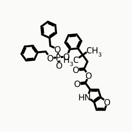 CC(C)(CC(=O)OC(=O)c1cc2occc2[nH]1)c1ccccc1OP(=O)(OCc1ccccc1)OCc1ccccc1